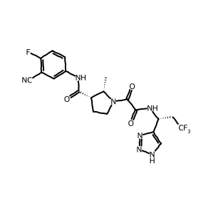 C[C@H]1[C@@H](C(=O)Nc2ccc(F)c(C#N)c2)CCN1C(=O)C(=O)N[C@H](CC(F)(F)F)c1c[nH]nn1